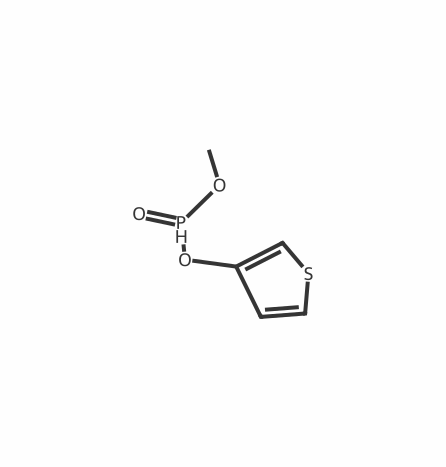 CO[PH](=O)Oc1ccsc1